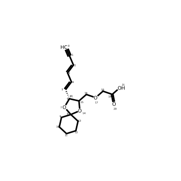 C#CC=CC=C[C@H]1OC2(CCCCC2)OC1COCC(=O)O